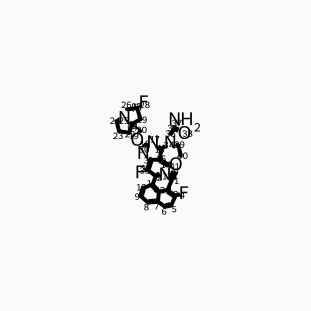 C#Cc1c(F)ccc2cccc(-c3nc4c5c(nc(OC[C@@]67CCCN6C[C@H](F)C7)nc5c3F)N(CC(N)=O)CCO4)c12